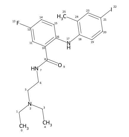 CCN(CC)CCNC(=O)c1cc(F)ccc1Nc1ccc(I)cc1C